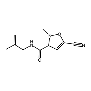 C=C(C)CNC(=O)C1C=C(C#N)ON1C